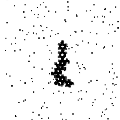 CCc1cc(Nc2ncc(Br)c(Nc3ccc(-c4cnn(C)n4)c(F)c3P(C)(C)=O)n2)c(OC)cc1N1CCC(N2CCN(C)CC2)CC1